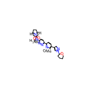 COc1nc(-c2ccc(N(C)C3C[C@H]4CC[C@@H](C3)N4C(=O)OC(C)(C)C)nn2)ccc1-c1cnn(C2CCCCO2)c1